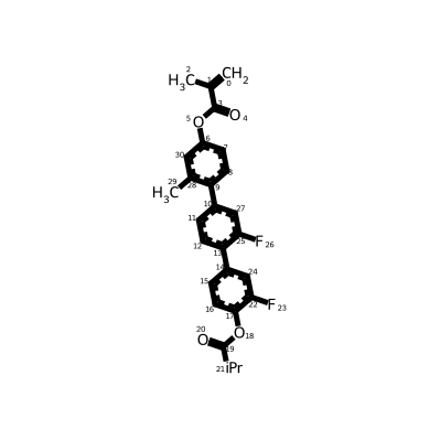 C=C(C)C(=O)Oc1ccc(-c2ccc(-c3ccc(OC(=O)C(C)C)c(F)c3)c(F)c2)c(C)c1